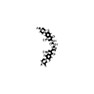 CCn1cc(NC(=O)Nc2nnc(-c3cn(CC)c4c(F)c(N5CCN(C)C(C)C5)c(F)cc4c3=O)s2)c(=O)c2cc(F)c(N3CCN(C(C)=O)CC3)cc21